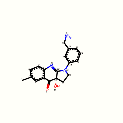 Cc1ccc2c(c1)C(=O)[C@]1(O)CCN(c3cccc(CN)c3)C1=N2